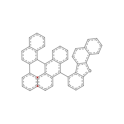 c1ccc(-c2ccc3ccccc3c2-c2c3ccccc3c(-c3cccc4oc5c6ccccc6ccc5c34)c3ccccc23)cc1